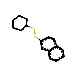 c1ccc2cc(SSC3CCCCC3)ccc2c1